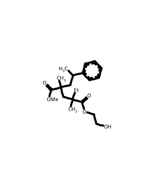 CCC(C)(CC(C)(CC(C)c1ccccc1)C(=O)OC)C(=O)OCCO